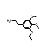 CCOc1cc(CCN)cc(OC)c1OC